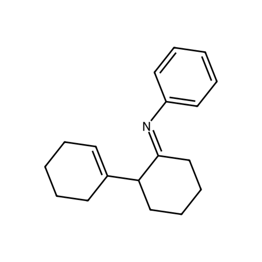 C1=C(C2CCCC/C2=N\c2ccccc2)CCCC1